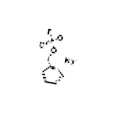 O=P([O-])(F)OCc1ccccc1.[Na+]